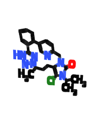 CCCCc1c(Cl)n(C(C)C)c(=O)n1Cc1ccc(-c2ccccc2-c2nnn[nH]2)cn1